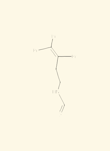 O=CNCCC(Br)=C(Br)Br